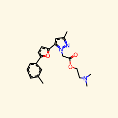 Cc1cccc(-c2ccc(-c3cc(C)nn3CC(=O)OCCN(C)C)o2)c1